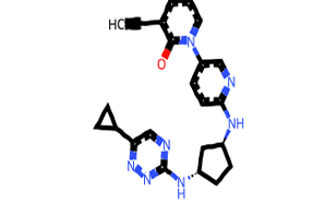 C#Cc1cccn(-c2ccc(N[C@H]3CC[C@H](Nc4ncc(C5CC5)nn4)C3)nc2)c1=O